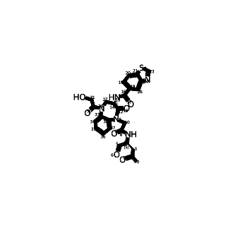 CC(=O)C[C@@H](C=O)NC(=O)CN1C(=O)[C@@H](NC(=O)c2ccc3scnc3c2)CN(C(=O)CO)c2ccccc21